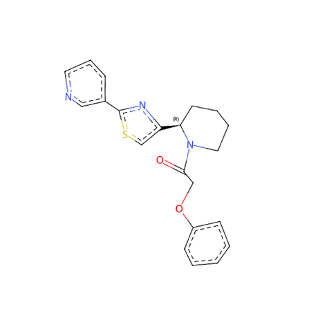 O=C(COc1ccccc1)N1CCCC[C@@H]1c1csc(-c2cccnc2)n1